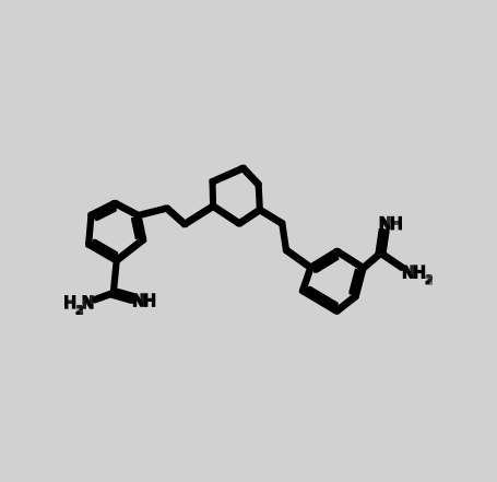 N=C(N)c1cccc(CCC2CCCC(CCc3cccc(C(=N)N)c3)C2)c1